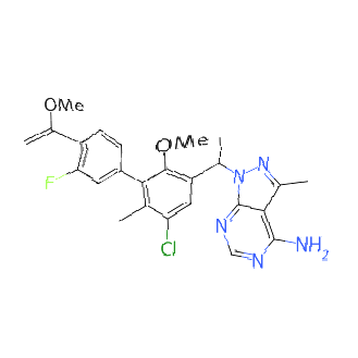 C=C(OC)c1ccc(-c2c(C)c(Cl)cc(C(C)n3nc(C)c4c(N)ncnc43)c2OC)cc1F